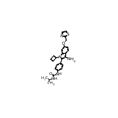 CC(C)NC(=O)Nc1ccc(-c2c(N)c3ccc(OCc4nccs4)cc3n2C2CCC2)cc1